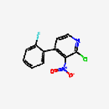 O=[N+]([O-])c1c(-c2ccccc2F)ccnc1Cl